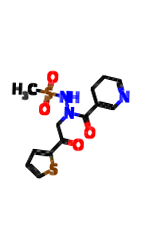 CS(=O)(=O)NN(CC(=O)c1cccs1)C(=O)C1=CN=CCC1